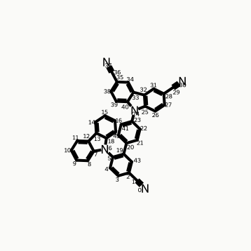 N#Cc1ccc(-n2c3ccccc3c3ccccc32)c(-c2ccc(-n3c4ccc(C#N)cc4c4cc(C#N)ccc43)cc2)c1